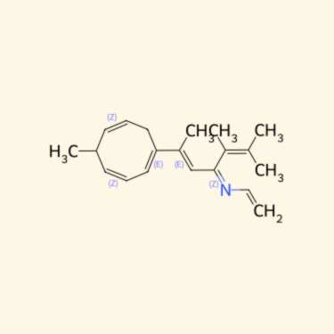 C=C/N=C(/C=C(C)/C1=C/C=C\C(C)/C=C\C1)C(C)=C(C)C